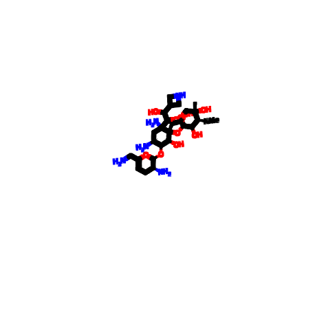 CN[C@@H]1[C@@H](O)[C@@H](O[C@]2(CCO)[C@@H](O)[C@H](O[C@H]3OC(CN)=CC[C@H]3N)[C@@H](N)C[C@]2(N)C(=O)C(O)C2CNC2)OC[C@]1(C)O